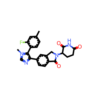 Cc1ccc(-c2c(-c3ccc4c(c3)CN(C3CCC(=O)NC3=O)C4=O)ncn2C)c(F)c1